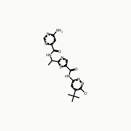 CC(NC(=O)c1cc(N)ncn1)c1ncc(C(=O)Nc2cc(C(C)(C)C)c(Cl)nn2)s1